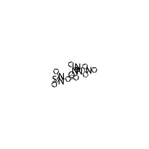 C1=Cc2c(n(-c3ccccc3)c3cccc(-c4nc(-c5ccccc5)nc(-c5cccc6c5oc5cc(-c7nc(-c8ccccc8)c8sc9ccccc9c8n7)ccc56)n4)c23)CC1